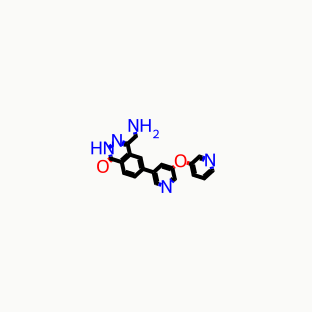 NCc1n[nH]c(=O)c2ccc(-c3cncc(Oc4cccnc4)c3)cc12